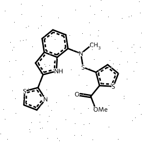 COC(=O)c1sccc1SN(C)c1cccc2cc(-c3nccs3)[nH]c12